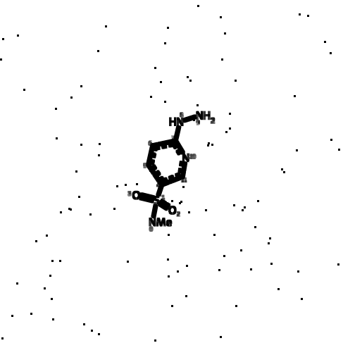 CNS(=O)(=O)c1ccc(NN)nc1